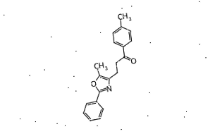 Cc1ccc(C(=O)CCc2nc(-c3ccccc3)oc2C)cc1